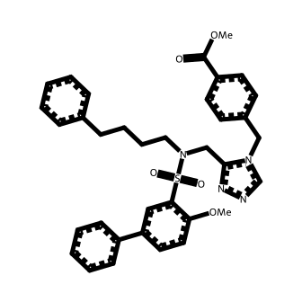 COC(=O)c1ccc(Cn2cnnc2CN(CCCCc2ccccc2)S(=O)(=O)c2cc(-c3ccccc3)ccc2OC)cc1